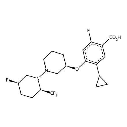 O=C(O)c1cc(C2CC2)c(O[C@@H]2CCCN(N3C[C@H](F)CC[C@@H]3C(F)(F)F)C2)cc1F